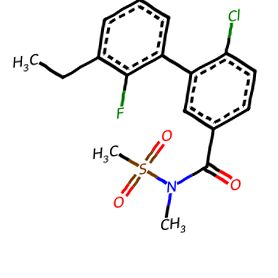 CCc1cccc(-c2cc(C(=O)N(C)S(C)(=O)=O)ccc2Cl)c1F